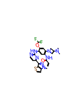 C=CC(=O)Nc1cc(Nc2nccc(-c3nn(C)c4ccsc34)n2)c(OC(F)F)cc1N1CC(N(C)C)C1